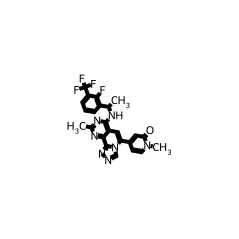 Cc1nc(NC(C)c2cccc(C(F)(F)F)c2F)c2cc(-c3ccn(C)c(=O)c3)n3cnnc3c2n1